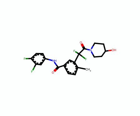 Cc1ccc(C(=O)Nc2ccc(F)c(F)c2)cc1C(F)(F)C(=O)N1CCC(O)CC1